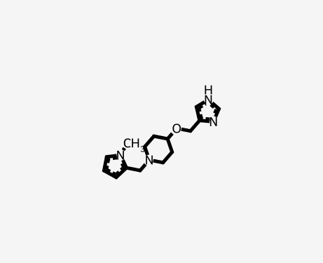 Cn1cccc1CN1CCC(OCc2c[nH]cn2)CC1